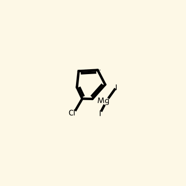 Clc1cc[c]cc1.[I][Mg][I]